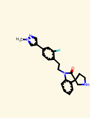 Cn1cc(-c2ccc(CCN3C(=O)C4(CCNC4)c4ccccc43)c(F)c2)cn1